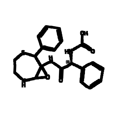 O=C(O)N[C@H](C(=O)NC12OC1NCCSC2c1ccccc1)c1ccccc1